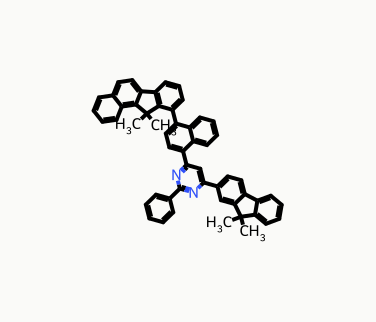 CC1(C)c2ccccc2-c2ccc(-c3cc(-c4ccc(-c5cccc6c5C(C)(C)c5c-6ccc6ccccc56)c5ccccc45)nc(-c4ccccc4)n3)cc21